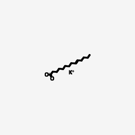 CCCCC=CCCCCCCCC(=O)[O-].[K+]